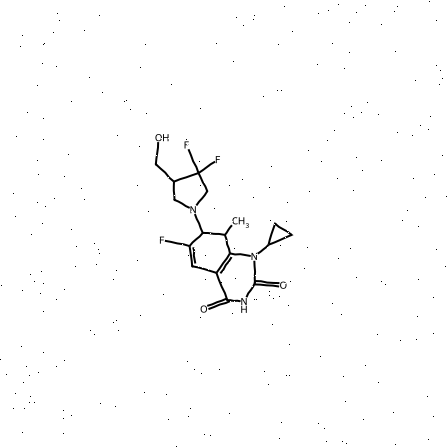 CC1c2c(c(=O)[nH]c(=O)n2C2CC2)C=C(F)C1N1CC(CO)C(F)(F)C1